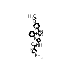 CCOc1ccc(-c2nnc([C@H]3C[C@H](NC(=O)c4cn(C)cn4)C3)n2-c2ccccc2F)nc1